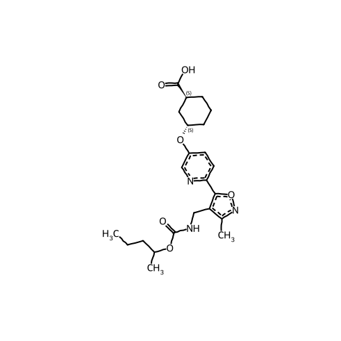 CCCC(C)OC(=O)NCc1c(C)noc1-c1ccc(O[C@H]2CCC[C@H](C(=O)O)C2)cn1